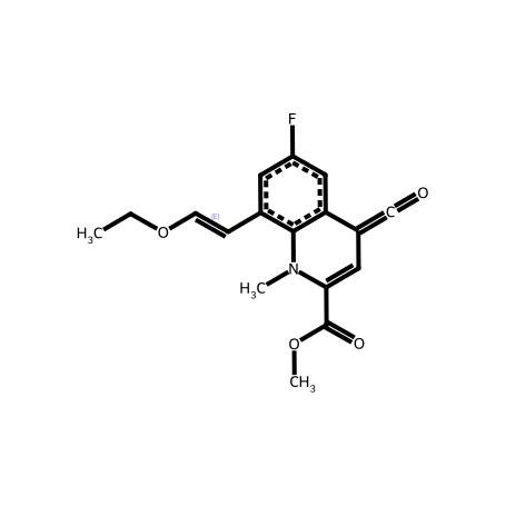 CCO/C=C/c1cc(F)cc2c1N(C)C(C(=O)OC)=CC2=C=O